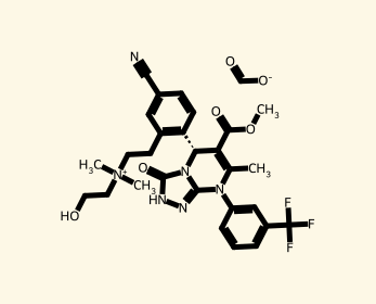 COC(=O)C1=C(C)N(c2cccc(C(F)(F)F)c2)c2n[nH]c(=O)n2[C@@H]1c1ccc(C#N)cc1CC[N+](C)(C)CCO.O=C[O-]